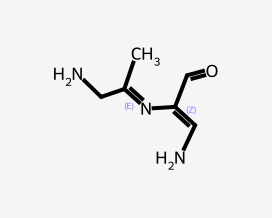 C/C(CN)=N\C(C=O)=C/N